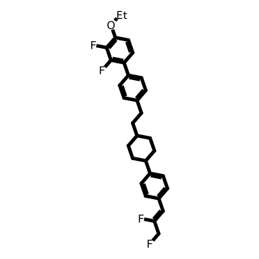 CCOc1ccc(-c2ccc(CCC3CCC(c4ccc(/C=C(\F)CF)cc4)CC3)cc2)c(F)c1F